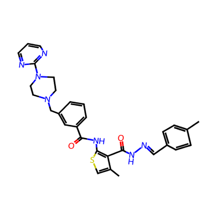 Cc1ccc(C=NNC(=O)c2c(C)csc2NC(=O)c2cccc(CN3CCN(c4ncccn4)CC3)c2)cc1